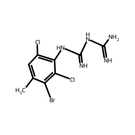 Cc1cc(Cl)c(NC(=N)NC(=N)N)c(Cl)c1Br